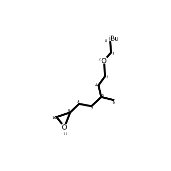 CCC(C)COCCC(C)CCC1CO1